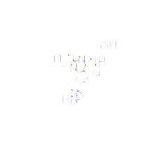 COc1cc(-c2cc[nH]n2)cc2nc(N)nc(NCCO)c12